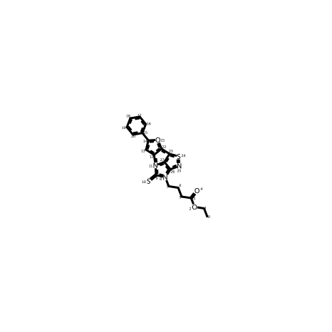 CCOC(=O)CCCn1c(=S)n2c3cc(-c4ccccc4)oc3c3snc1c32